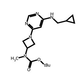 CN(C(=O)OC(C)(C)C)C1CN(c2cc(NCC3CC3)ncn2)C1